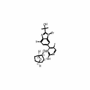 CC(C)n1c(C(C)(C)O)nc2c(F)cc(-c3nc(N[C@@H]4C[C@H]5CC[C@H](O5)[C@H]4O)ncc3F)cc21